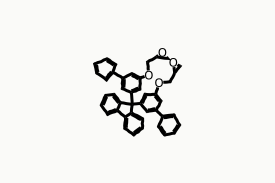 c1ccc(-c2cc(OCC3CO3)cc(C3(c4cc(OCC5CO5)cc(-c5ccccc5)c4)c4ccccc4-c4ccccc43)c2)cc1